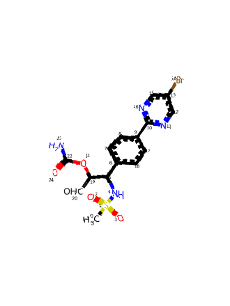 CS(=O)(=O)NC(c1ccc(-c2ncc(Br)cn2)cc1)C(C=O)OC(N)=O